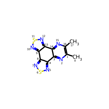 Cc1nc2c3nsnc3c3nsnc3c2nc1C